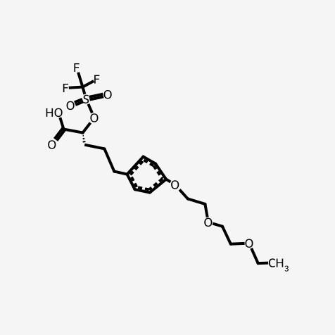 CCOCCOCCOc1ccc(CCC[C@@H](OS(=O)(=O)C(F)(F)F)C(=O)O)cc1